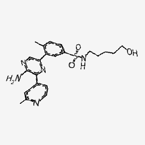 Cc1cc(-c2nc(-c3cc(S(=O)(=O)NCCCCCO)ccc3C)cnc2N)ccn1